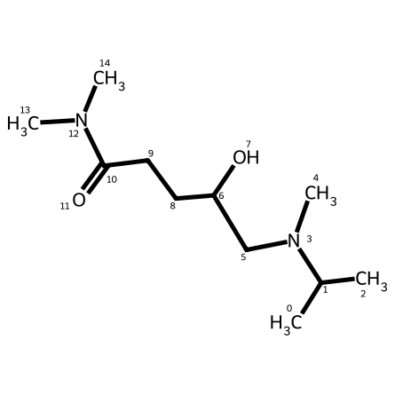 CC(C)N(C)CC(O)CCC(=O)N(C)C